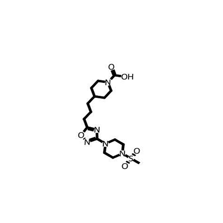 CS(=O)(=O)N1CCN(c2noc(CCCC3CCN(C(=O)O)CC3)n2)CC1